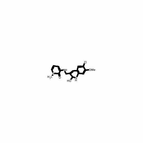 COc1cc2c(cc1Cl)C=C(CNc1cccn(C)c1=O)C(O)N2